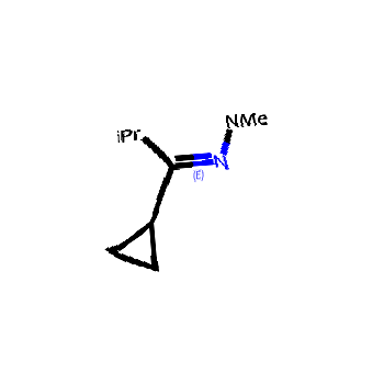 CN/N=C(\C(C)C)C1CC1